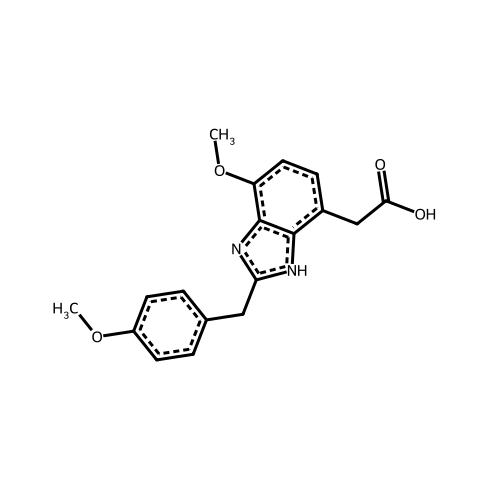 COc1ccc(Cc2nc3c(OC)ccc(CC(=O)O)c3[nH]2)cc1